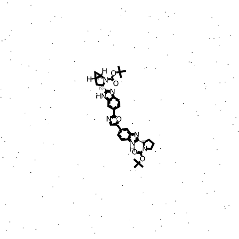 CC(C)(C)OC(=O)N1CCC[C@H]1c1nc2cc(-c3cnc(-c4ccc5nc([C@@H]6C[C@@H]7C[C@@H]7N6C(=O)OC(C)(C)C)[nH]c5c4)o3)ccc2[nH]1